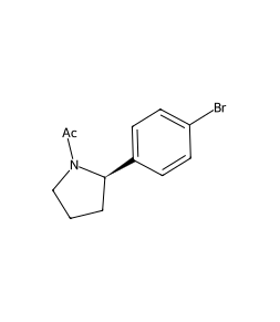 CC(=O)N1CCC[C@@H]1c1ccc(Br)cc1